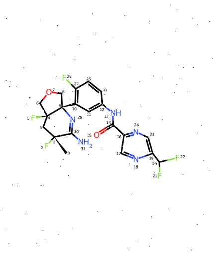 C[C@@]1(F)C[C@]2(F)COC[C@]2(c2cc(NC(=O)c3cnc(C(F)F)cn3)ccc2F)N=C1N